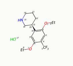 CCOc1cc(C(F)(F)F)c(OCC)cc1[C@@H]1CCCNC1.Cl